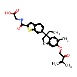 C=C(C)C(=O)COc1ccc(C(CC)(CC)c2ccc3cc(C(=O)NCC(=O)O)sc3c2)cc1C